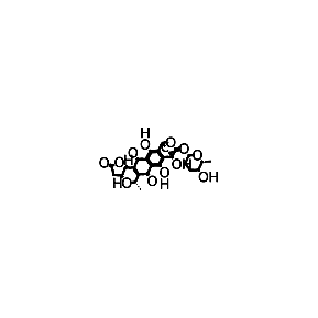 CC1OC2CC(O[C@H]3CC[C@H](O)[C@H](C)O3)C1(O)c1c(O)c3c(c(O)c12)C(=O)C1=C(C3=O)[C@H](C)O[C@H]2CC(=O)O[C@@H]12